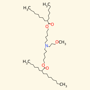 CCCCCCCCC(CCCCCC)C(=O)OCCCCCCN(CCCCCCOC(=O)C(CCCCCC)CCCCCCCC)CCCOC